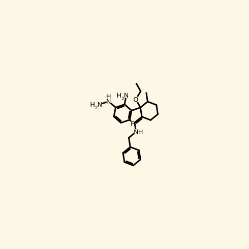 CCOC1(c2c(F)ccc(NN)c2N)/C(=C/NCc2ccccc2)CCCC1C